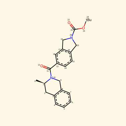 C[C@@H]1Cc2ccccc2CN1C(=O)c1ccc2c(c1)CN(C(=O)OC(C)(C)C)C2